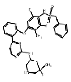 Cc1c(Oc2ncccc2-c2ccnc(NC3CNC[C@@](C)(F)C3)n2)cc(F)c(NS(=O)(=O)Cc2ccccc2)c1F